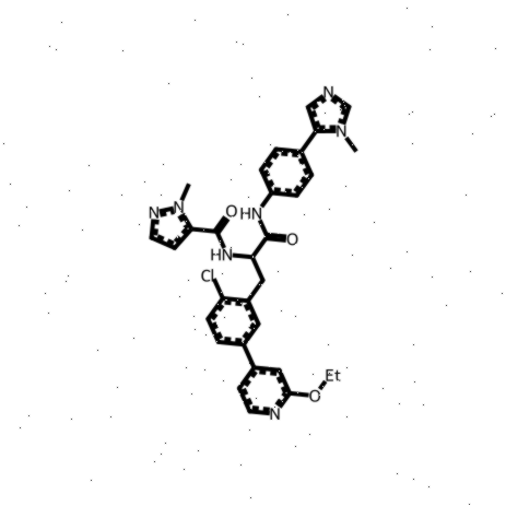 CCOc1cc(-c2ccc(Cl)c(CC(NC(=O)c3ccnn3C)C(=O)Nc3ccc(-c4cncn4C)cc3)c2)ccn1